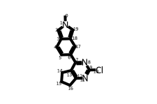 Cn1cc2ccc(-c3nc(Cl)nc4c3CCC4)cc2c1